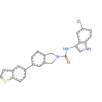 O=C(Nc1c[nH]c2ccc(Cl)cc12)N1Cc2ccc(-c3ccc4sccc4c3)cc2C1